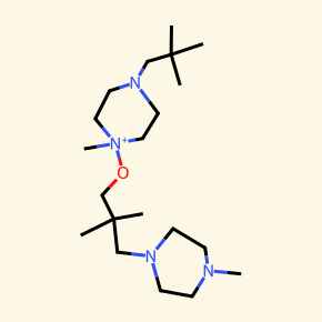 CN1CCN(CC(C)(C)CO[N+]2(C)CCN(CC(C)(C)C)CC2)CC1